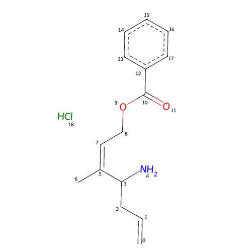 C=CCC(N)C(C)=CCOC(=O)c1ccccc1.Cl